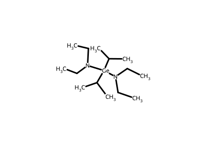 CC[N](CC)[Ge]([CH](C)C)([CH](C)C)[N](CC)CC